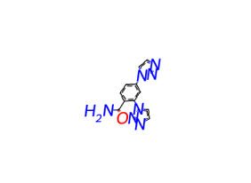 NC(=O)c1ccc(-n2ccnn2)cc1-n1ccnn1